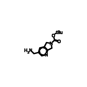 CC(C)(C)OC(=O)N1Cc2cc(CN)cnc2C1